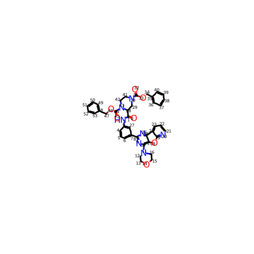 O=C(Nc1cccc(-c2nc(N3CCOCC3)c3oc4ncccc4c3n2)c1)C1CN(C(=O)OCc2ccccc2)CCN1C(=O)OCc1ccccc1